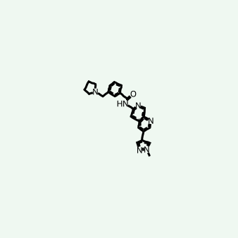 Cn1cc(-c2cnc3cnc(NC(=O)c4cccc(CN5CCCC5)c4)cc3c2)cn1